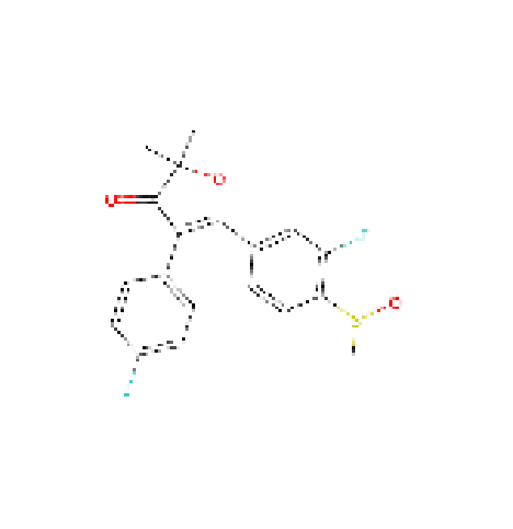 C[S+]([O-])c1ccc(C2=C(c3ccc(F)cc3)C(=O)C(C)(C)O2)cc1F